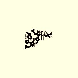 Cn1nc(CC2CC2)c(C2CC(Cn3nc(CC4CC4)c(C4CCC4)c3NC(=O)CC3(C(F)(F)F)CC3)C2)c1NC(=O)CC(C)(C)C(F)(F)F